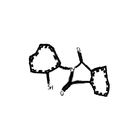 O=C1c2ccccc2C(=O)N1c1ccccc1S